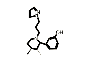 C[C@H]1CCN(CCCn2cccn2)C(c2cccc(O)c2)[C@@H]1C